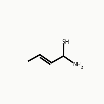 C/C=C/C(N)S